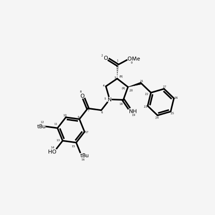 COC(=O)[C@H]1CN(CC(=O)c2cc(C(C)(C)C)c(O)c(C(C)(C)C)c2)C(=N)[C@@H]1Cc1ccccc1